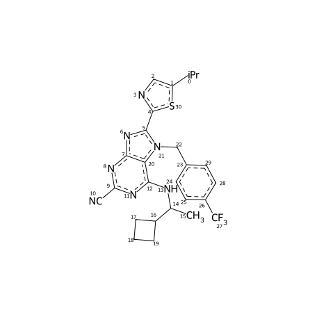 CC(C)c1cnc(-c2nc3nc(C#N)nc(NC(C)C4CCC4)c3n2Cc2ccc(C(F)(F)F)cc2)s1